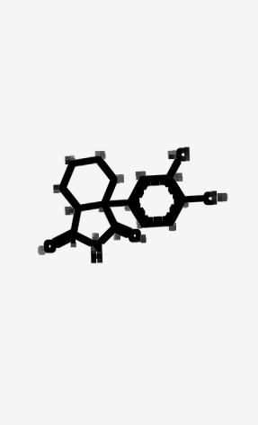 O=C1NC(=O)C2(c3ccc(Cl)c(Cl)c3)CCCCC12